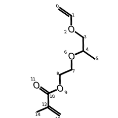 C=COCC(C)OCCOC(=O)C(=C)C